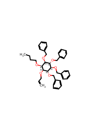 C=CCO[C@H]1[C@@H](OCCCC)[C@@H](OCc2ccccc2)[C@H](OCc2ccccc2)[C@@H](OCc2ccccc2)[C@@H]1OCc1ccccc1